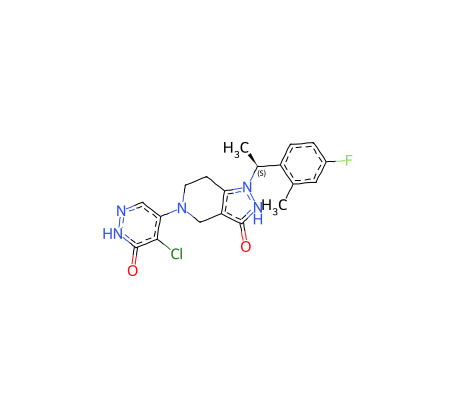 Cc1cc(F)ccc1[C@H](C)n1[nH]c(=O)c2c1CCN(c1cn[nH]c(=O)c1Cl)C2